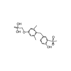 C=P(O)(O)COc1cc(C)c(Cc2ccc(O)c(S(C)(=O)=O)c2)c(C)c1